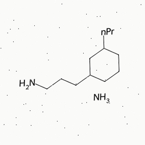 CCCC1CCCC(CCCN)C1.N